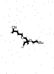 CC(C#N)CCCOCC(C)(CI)OCCC(C)(C)C